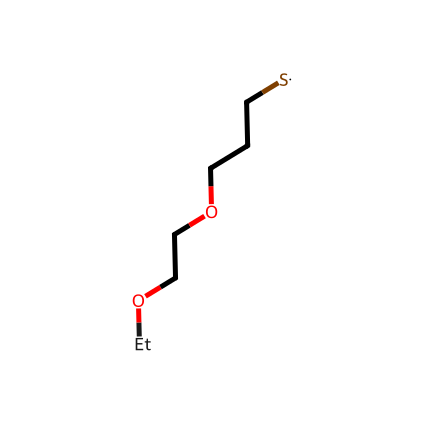 CCOCCOCCC[S]